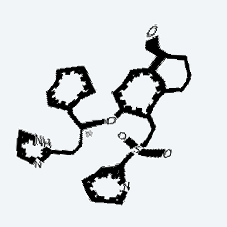 O=C1CCCc2c1ccc(O[C@@H](Cc1ncc[nH]1)c1ccccc1)c2CS(=O)(=O)c1ccccn1